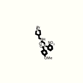 COc1ccc(C(=O)N(CC(=O)NCC2CCN(C(C)C)CC2)c2ccccc2[N+](=O)[O-])cc1